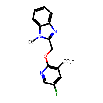 CCn1c(COc2ncc(F)cc2C(=O)O)nc2ccccc21